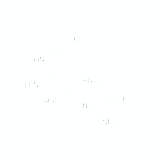 C=C(C1=CC(Cl)=CNC1N)C1=NC(N)=C(F)CN1